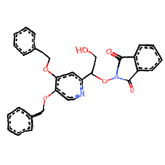 O=C1c2ccccc2C(=O)N1OC(CO)c1cc(OCc2ccccc2)c(OCc2ccccc2)cn1